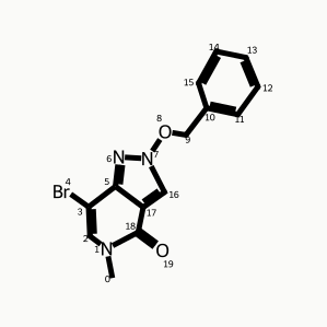 Cn1cc(Br)c2nn(OCc3ccccc3)cc2c1=O